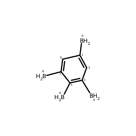 Bc1cc(B)c(B)c(B)c1